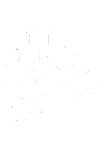 c1ccc(-c2cccc(C3(c4cccc(-c5ccccc5)n4)c4ccccc4Cc4ccccc43)n2)cc1